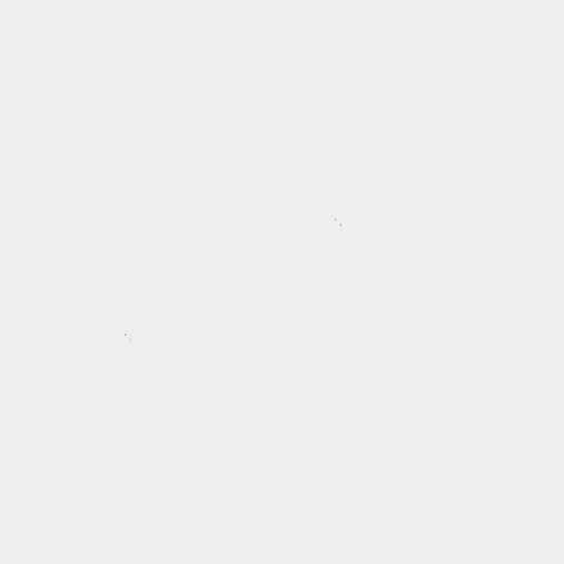 C1=CCC(C2CC(N3C4CCC=CC4C4C=CC(c5ccc6c(c5)c5c(n6C6=CCCC=C6)CCC=C5)CC43)=CC(C3=CCCC=C3)C2)C=C1